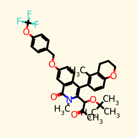 CC(=O)C(OC(C)(C)C)c1c(-c2ccc3c(c2C)CCCO3)c2ccc(OCc3ccc(OC(F)(F)F)cc3)cc2c(=O)n1C